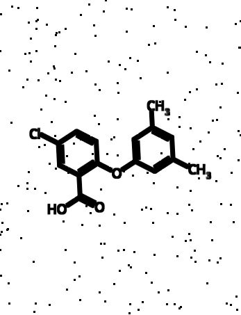 Cc1cc(C)cc(Oc2ccc(Cl)cc2C(=O)O)c1